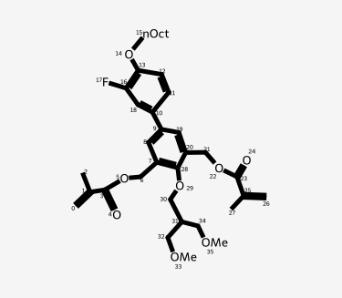 C=C(C)C(=O)OCc1cc(-c2ccc(OCCCCCCCC)c(F)c2)cc(COC(=O)C(=C)C)c1OCC(COC)COC